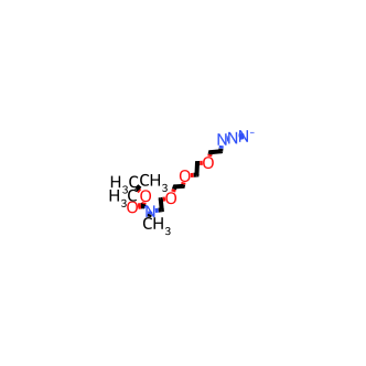 CN(CCOCCOCCOCCN=[N+]=[N-])C(=O)OC(C)(C)C